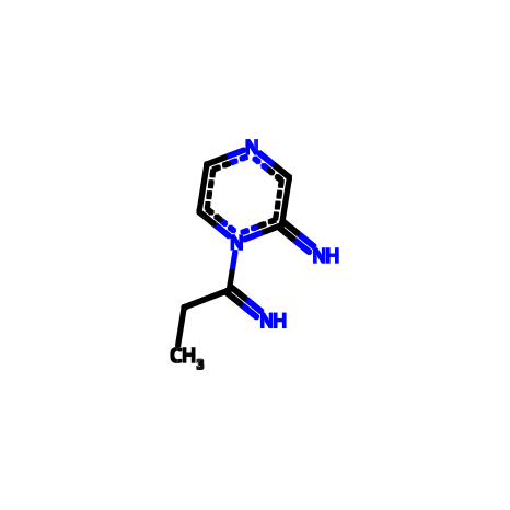 CCC(=N)n1ccncc1=N